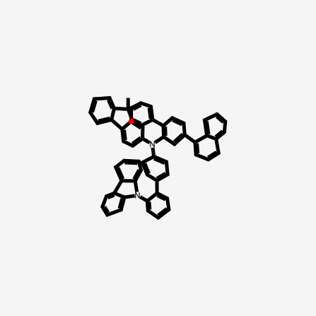 CC1(C)c2ccccc2-c2ccc(N(c3ccc(-c4ccccc4-n4c5ccccc5c5ccccc54)cc3)c3cc(-c4cccc5ccccc45)ccc3-c3ccccc3)cc21